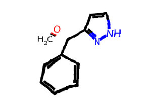 C=O.c1ccc(Cc2cc[nH]n2)cc1